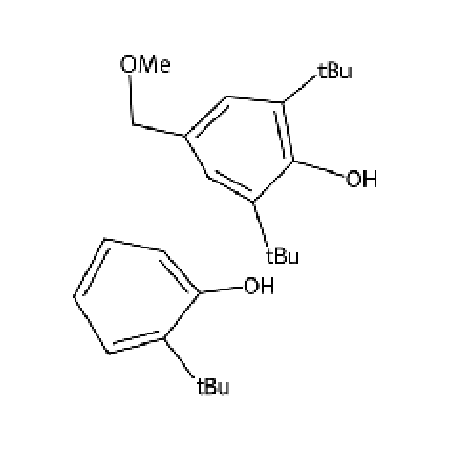 CC(C)(C)c1ccccc1O.COCc1cc(C(C)(C)C)c(O)c(C(C)(C)C)c1